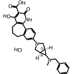 CN(Cc1ccccc1)C1[C@H]2CN(c3ccc4c(c3)CCCc3c-4[nH]c(=O)c(C(=O)O)c3O)C[C@@H]12.Cl